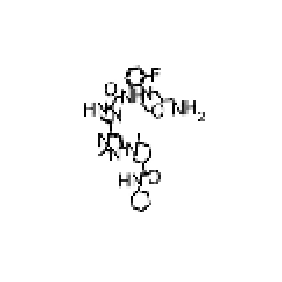 Cc1nc(-c2c[nH]c(C(=O)Nc3cccc(F)c3N3CCO[C@H](CN)C3)n2)cc(N2CC(C(=O)NC3CCCCC3)CCC2C)n1